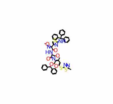 CON=C(C(=O)NC1C(=O)N2C(C(=O)OC(c3ccccc3)c3ccccc3)=C(C=CSc3nnc(C)s3)COC12)c1csc(NC(c2ccccc2)(c2ccccc2)c2ccccc2)n1